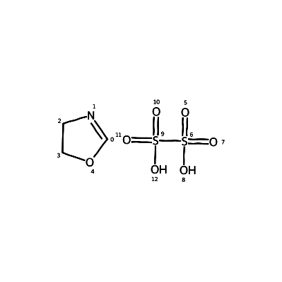 C1=NCCO1.O=S(=O)(O)S(=O)(=O)O